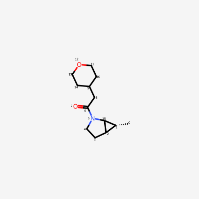 C[C@@H]1C2CCN(C(=O)CC3CCOCC3)C21